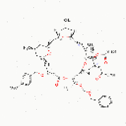 C=C1C[C@@H]2C[C@@H]3CC(=C)C[C@H](/C=C/C(C)(C)[C@]4(OC)O[C@@H](C/C(=C\C(=O)OC)[C@@H]4OC(=O)CCCCCCC)C[C@H]([C@@H](C)OCOCc4ccccc4)OC(=O)C[C@H](OCc4ccc(OC)cc4)C[C@H](C1)O2)O3